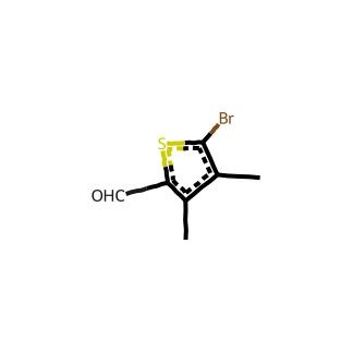 Cc1c(Br)sc(C=O)c1C